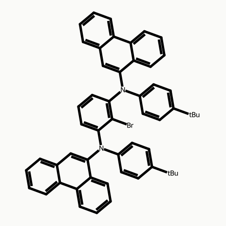 CC(C)(C)c1ccc(N(c2cccc(N(c3ccc(C(C)(C)C)cc3)c3cc4ccccc4c4ccccc34)c2Br)c2cc3ccccc3c3ccccc23)cc1